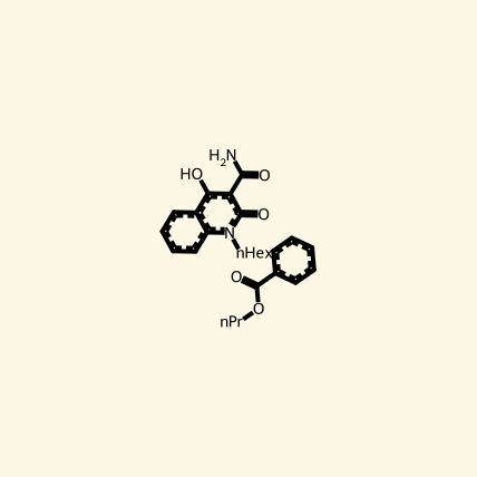 CCCCCCn1c(=O)c(C(N)=O)c(O)c2ccccc21.CCCOC(=O)c1ccccc1